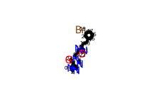 Cn1cnc2ncn(Cc3nc(CCc4cccc(Br)c4)no3)c(=O)c21